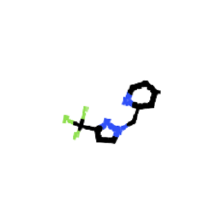 FC(F)(F)c1ccn(Cc2c[c]ccn2)n1